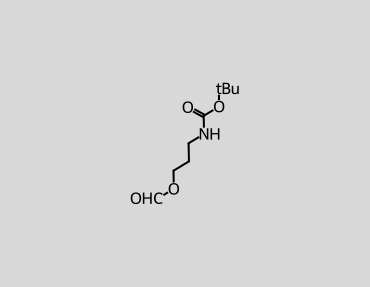 CC(C)(C)OC(=O)NCCCOC=O